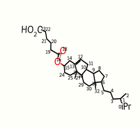 CC(C)C(C)CCCC1CCC2C3CC=C4CC(OC(=O)CCCCC(=O)O)CCC4(C)C3CCC12C